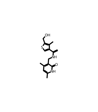 C=C(NCc1c(C)cc(C)[nH]c1=O)c1csc(CO)c1C